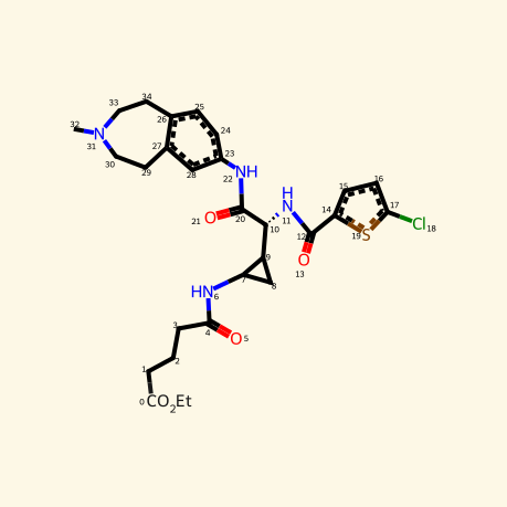 CCOC(=O)CCCC(=O)NC1CC1[C@@H](NC(=O)c1ccc(Cl)s1)C(=O)Nc1ccc2c(c1)CCN(C)CC2